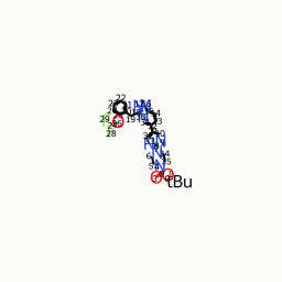 CC(C)(C)OC(=O)N1CCN(c2ncc(-c3ccc4nnc(Cc5ccccc5OC(F)F)n4c3)cn2)CC1